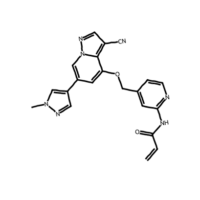 C=CC(=O)Nc1cc(COc2cc(-c3cnn(C)c3)cn3ncc(C#N)c23)ccn1